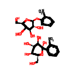 O=[N+]([O-])c1ccccc1O[C@@H]1O[C@H](CO)[C@H](O)[C@H](O)[C@H]1O.O=[N+]([O-])c1ccccc1[C@@]1(O)O[C@H](CO)[C@H](O)[C@H](O)[C@H]1O